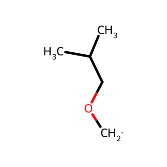 [CH2]OCC(C)C